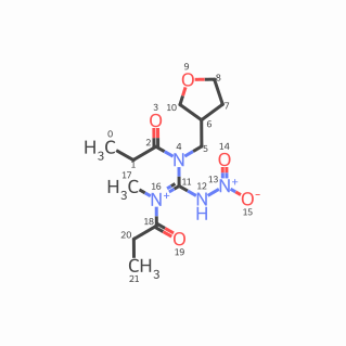 CCC(=O)N(CC1CCOC1)C(N[N+](=O)[O-])=[N+](C)C(=O)CC